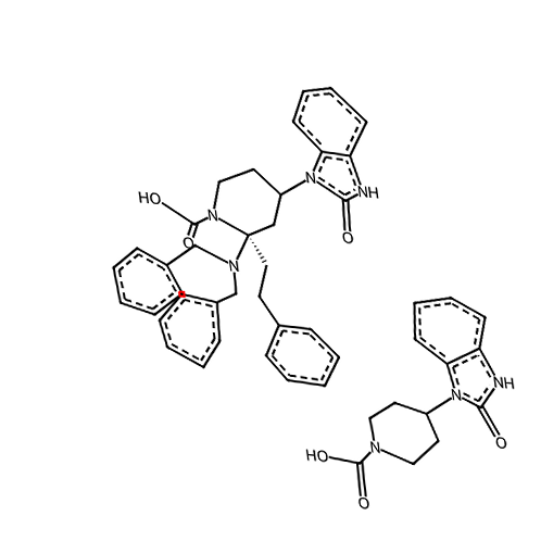 O=C(O)N1CCC(n2c(=O)[nH]c3ccccc32)CC1.O=C(O)N1CCC(n2c(=O)[nH]c3ccccc32)C[C@@]1(CCc1ccccc1)N(Cc1ccccc1)Cc1ccccc1